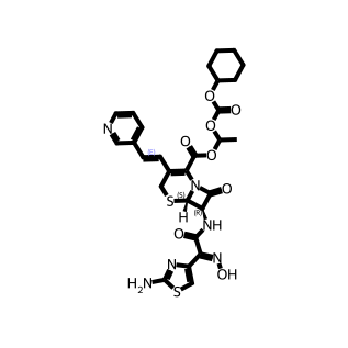 CC(OC(=O)OC1CCCCC1)OC(=O)C1=C(/C=C/c2cccnc2)CS[C@H]2[C@H](NC(=O)C(=NO)c3csc(N)n3)C(=O)N12